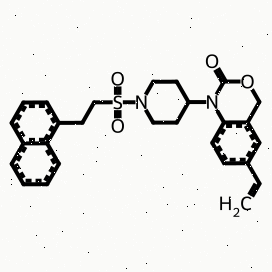 C=Cc1ccc2c(c1)COC(=O)N2C1CCN(S(=O)(=O)CCc2cccc3ccccc23)CC1